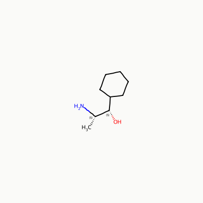 C[C@H](N)[C@@H](O)C1CCCCC1